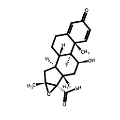 C[C@@]12C[C@H]3[C@@H]4CCC5=CC(=O)C=C[C@]5(C)[C@@]4(F)[C@@H](O)C[C@]3(C)[C@@]1(C(=O)S)O2